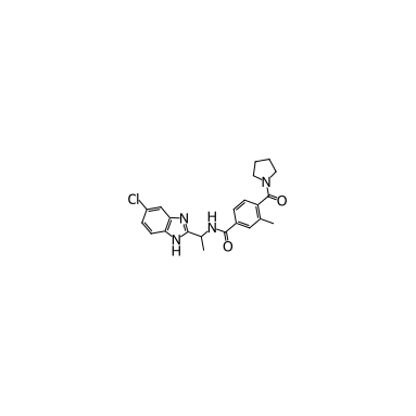 Cc1cc(C(=O)NC(C)c2nc3cc(Cl)ccc3[nH]2)ccc1C(=O)N1CCCC1